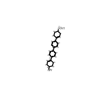 CCCCCCCCC1CC=C(c2ccc(-c3ccc(C4=CCC(CCC)CC4)cc3)cc2)CC1